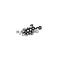 CN(C)c1cc(CCC2CCCC2)c(N=O)c2c1C[C@H]1C[C@H]3[C@H](N(C)C)C(C(N)=O)C(=O)[C@@]3(O)C(N=O)=C1C2=O